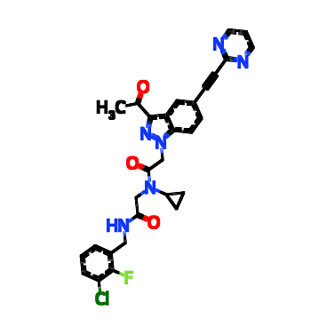 CC(=O)c1nn(CC(=O)N(CC(=O)NCc2cccc(Cl)c2F)C2CC2)c2ccc(C#Cc3ncccn3)cc12